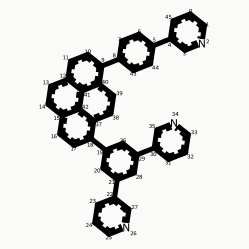 c1cncc(-c2ccc(-c3ccc4ccc5ccc(-c6cc(-c7cccnc7)cc(-c7cccnc7)c6)c6ccc3c4c56)cc2)c1